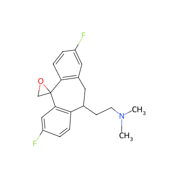 CN(C)CCC1Cc2cc(F)ccc2C2(CO2)c2cc(F)ccc21